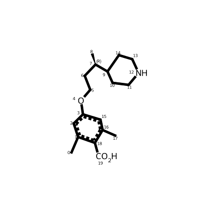 Cc1cc(OCC[C@@H](C)C2CCNCC2)cc(C)c1C(=O)O